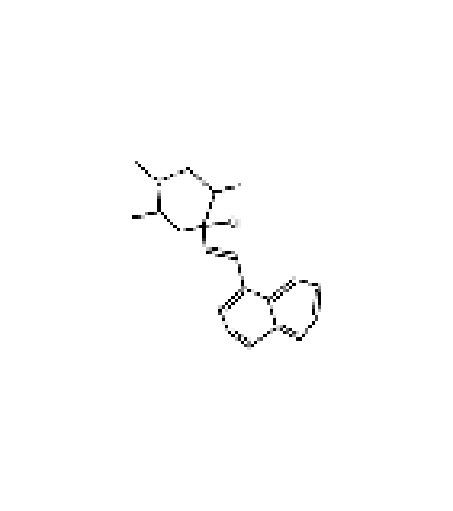 CC1CC(O)(C=Cc2cccc3ccccc23)C(C)CN1C